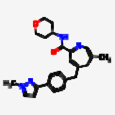 CC1=CN=C(C(=O)NC2CCOCC2)C=C(Cc2ccc(-c3ccn(C)n3)cc2)C1